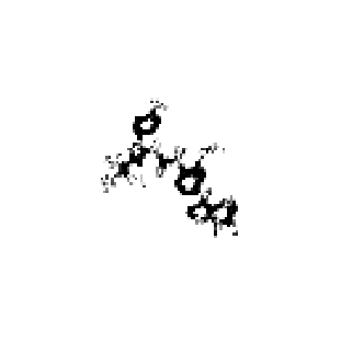 CSc1cc(Oc2ccnc3[nH]c(=O)cnc23)ccc1NC(=O)Nc1cc(C(C)(C)C)nn1-c1ccc(C)cc1